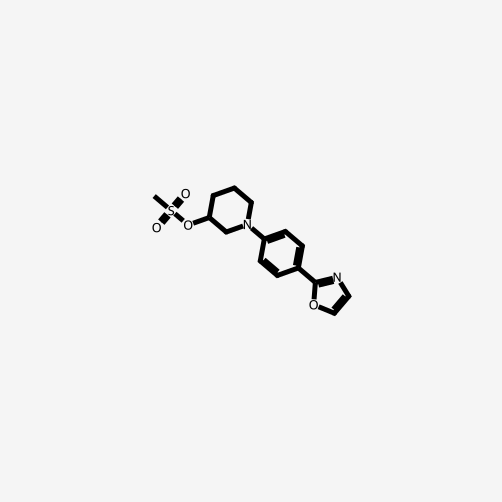 CS(=O)(=O)OC1CCCN(c2ccc(-c3ncco3)cc2)C1